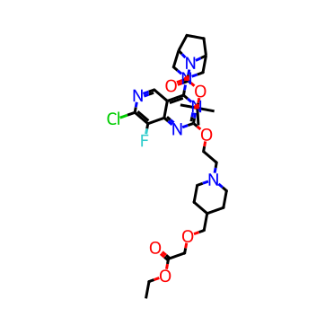 CCOC(=O)COCC1CCN(CCOc2nc(N3CC4CCC(C3)N4C(=O)OC(C)(C)C)c3cnc(Cl)c(F)c3n2)CC1